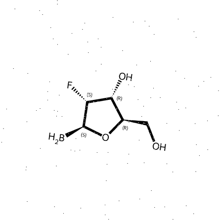 B[C@@H]1O[C@H](CO)[C@@H](O)[C@H]1F